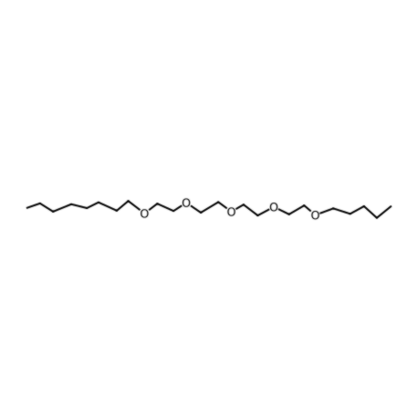 CCCCCCCCOCCOCCOCCOCCOCCCCC